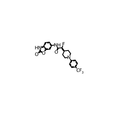 O=C(Nc1ccc2[nH]c(=O)oc2c1)C(F)=C1CCN(c2ccc(C(F)(F)F)cc2)CC1